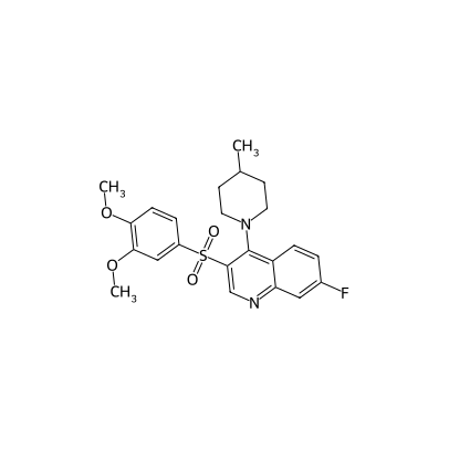 COc1ccc(S(=O)(=O)c2cnc3cc(F)ccc3c2N2CCC(C)CC2)cc1OC